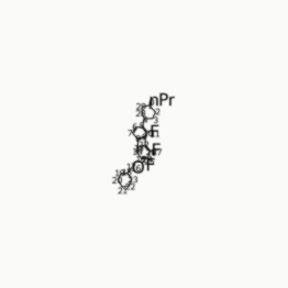 CCCC1CCC(c2ccc3c(c2F)-c2c-3cc(OCC3CCCCC3)c(F)c2F)CC1